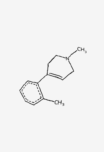 Cc1ccccc1C1=CCN(C)CC1